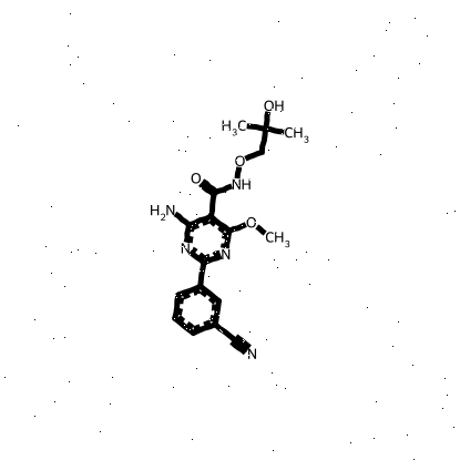 COc1nc(-c2cccc(C#N)c2)nc(N)c1C(=O)NOCC(C)(C)O